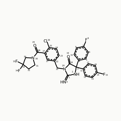 N=C1NC(c2ccc(F)cc2)(c2ccc(F)cc2)C(=O)N1Cc1ccc(Cl)c(C(=O)N2CCC(F)(F)C2)c1